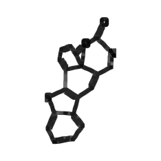 O=C1CC23C(=O)C=CC=C2c2sc4ccccc4c2C=C3C=N1